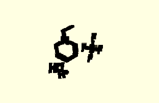 CCN1C=CC=CC1.Cl.F[B-](F)(F)F.[H+]